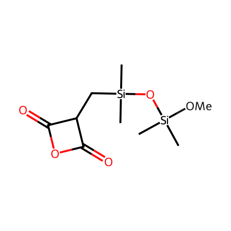 CO[Si](C)(C)O[Si](C)(C)CC1C(=O)OC1=O